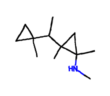 CNC1(C)CC1(C)C(C)C1(C)CC1